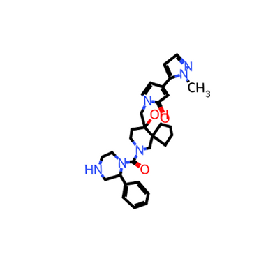 Cn1nccc1-c1ccn(CC2(O)CCN(C(=O)N3CCNCC3c3ccccc3)CC23CCCC3)c(=O)c1